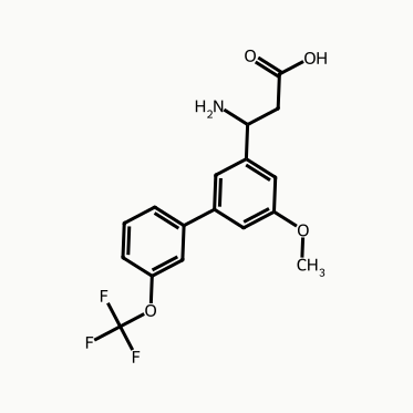 COc1cc(-c2cccc(OC(F)(F)F)c2)cc(C(N)CC(=O)O)c1